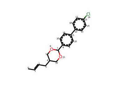 C/C=C/CC1COC(c2ccc(-c3ccc(Cl)cc3)cc2)OC1